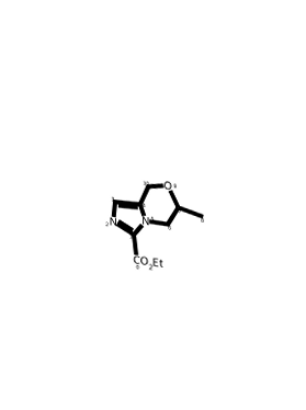 CCOC(=O)c1ncc2n1CC(C)OC2